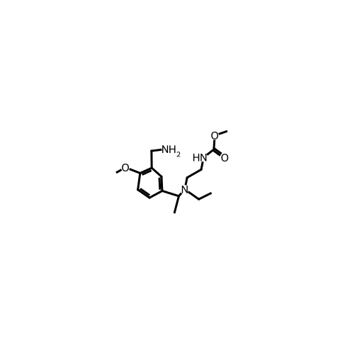 CCN(CCNC(=O)OC)C(C)c1ccc(OC)c(CN)c1